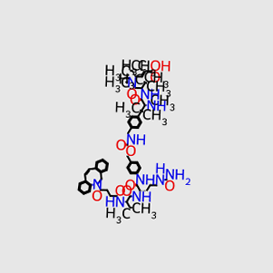 CN[C@@H](C(=O)N[C@H](C(=O)N(C)[C@H](/C=C(\C)C(=O)O)C(C)C)C(C)(C)C)C(C)(C)c1ccc(CNC(=O)OCc2ccc(NC(=O)[C@H](CCCNC(N)=O)NC(=O)[C@@H](NC(=O)CCC(=O)N3Cc4ccccc4/C=C\c4ccccc43)C(C)C)cc2)cc1